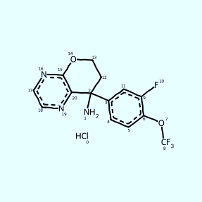 Cl.NC1(c2ccc(OC(F)(F)F)c(F)c2)CCOc2nccnc21